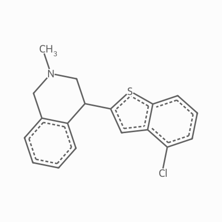 CN1Cc2ccccc2C(c2cc3c(Cl)cccc3s2)C1